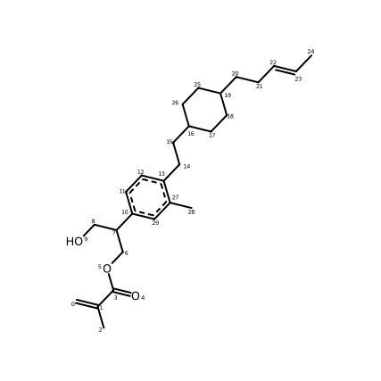 C=C(C)C(=O)OCC(CO)c1ccc(CCC2CCC(CC/C=C/C)CC2)c(C)c1